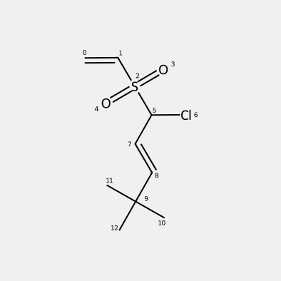 C=CS(=O)(=O)C(Cl)C=CC(C)(C)C